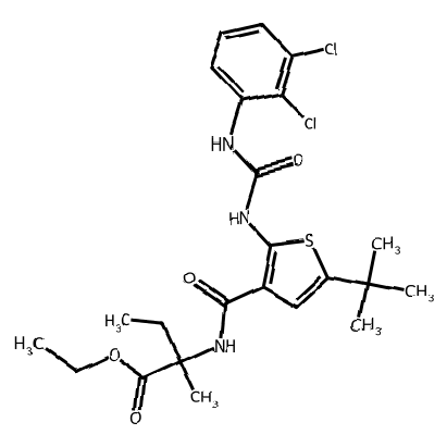 CCOC(=O)C(C)(CC)NC(=O)c1cc(C(C)(C)C)sc1NC(=O)Nc1cccc(Cl)c1Cl